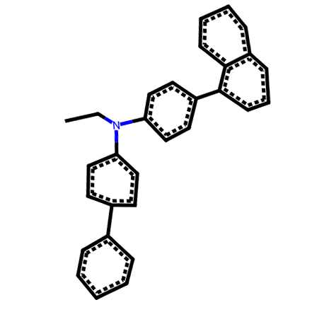 CCN(c1ccc(-c2ccccc2)cc1)c1ccc(-c2cccc3ccccc23)cc1